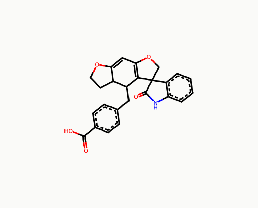 O=C(O)c1ccc(CC2C3=C(C=C4OCCC42)OCC32C(=O)Nc3ccccc32)cc1